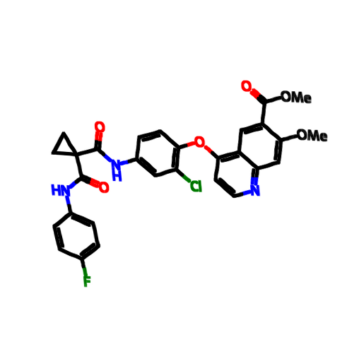 COC(=O)c1cc2c(Oc3ccc(NC(=O)C4(C(=O)Nc5ccc(F)cc5)CC4)cc3Cl)ccnc2cc1OC